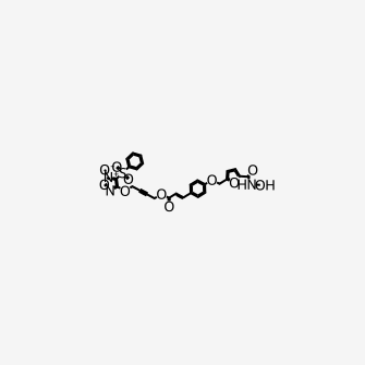 O=C(C=Cc1ccc(OCc2ccc(C(=O)NO)o2)cc1)OCC#CCOc1no[n+]([O-])c1S(=O)(=O)c1ccccc1